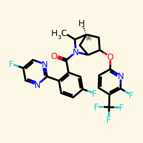 CC1[C@H]2CC(Oc3ccc(C(F)(F)F)c(F)n3)C(C2)N1C(=O)c1cc(F)ccc1-c1ncc(F)cn1